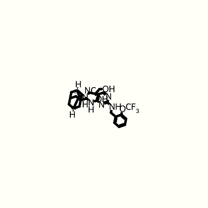 N#Cc1cnc(NCc2ccccc2OC(F)(F)F)nc1NCC12CC3C[C@H](C1)C(NCC(O)CO)[C@@H](C3)C2